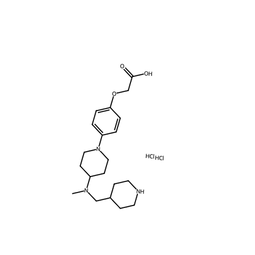 CN(CC1CCNCC1)C1CCN(c2ccc(OCC(=O)O)cc2)CC1.Cl.Cl